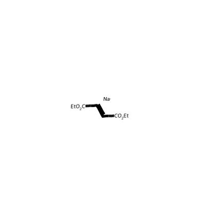 CCOC(=O)C=CC(=O)OCC.[Na]